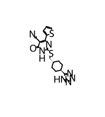 N#Cc1c(-c2cccs2)nc(SC[C@H]2CC[C@H](c3nnn[nH]3)CC2)[nH]c1=O